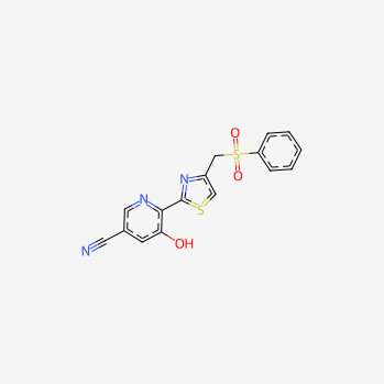 N#Cc1cnc(-c2nc(CS(=O)(=O)c3ccccc3)cs2)c(O)c1